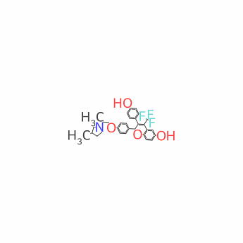 CC(COc1ccc(C2Oc3ccc(O)cc3C(C(F)(F)F)=C2c2ccc(O)cc2)cc1)N1CC[C@@H](C)C1